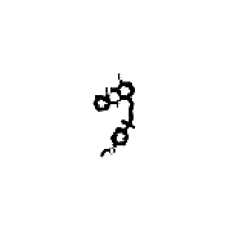 CCOc1ccc(C(C)(C)CCCc2ccc(F)c(Oc3ccccc3F)c2)cc1